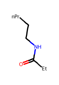 [CH2]CCCCNC(=O)CC